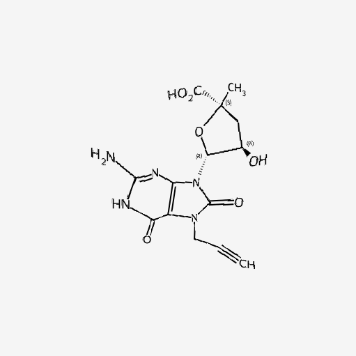 C#CCn1c(=O)n([C@@H]2O[C@](C)(C(=O)O)C[C@H]2O)c2nc(N)[nH]c(=O)c21